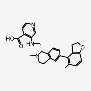 Cc1ccc2c(c1-c1ccc3c(c1)CCN(C)[C@@H]3CNc1cnccc1C(=O)O)CCO2